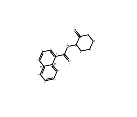 O=C(OC1CCCCC1=O)c1cccc2ccccc12